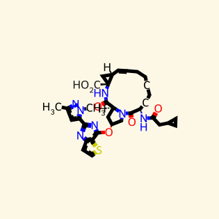 Cc1cc(-c2nc(O[C@@H]3C[C@H]4C(=O)N[C@]5(C(=O)O)C[C@H]5/C=C\CCCCC[C@H](NC(=O)CC5CC5)C(=O)N4C3)c3sccc3n2)n(C)n1